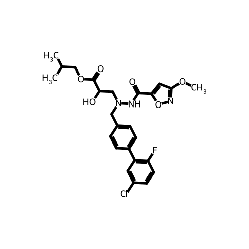 COc1cc(C(=O)NN(Cc2ccc(-c3cc(Cl)ccc3F)cc2)CC(O)C(=O)OCC(C)C)on1